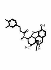 Cc1ccc(CCC(=O)N(C)C2CC[C@@]3(O)[C@H]4Cc5ccc(O)c6c5[C@@]3(CC(C#N)N4C)C2O6)cc1C